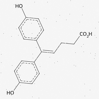 O=C(O)CCC=C(c1ccc(O)cc1)c1ccc(O)cc1